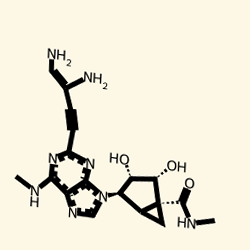 CNC(=O)[C@]12CC1[C@@H](n1cnc3c(NC)nc(C#C/C(N)=C/N)nc31)[C@H](O)[C@@H]2O